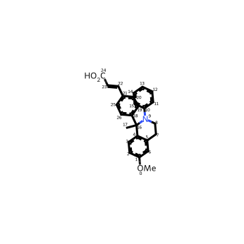 COc1ccc2c(c1)CCN(c1ccccc1)C2(C)c1ccc(C=CC(=O)O)cc1